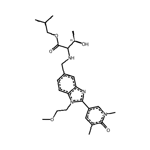 COCCn1c(-c2cc(C)c(=O)n(C)c2)nc2cc(CNC(C(=O)OCC(C)C)[C@@H](C)O)ccc21